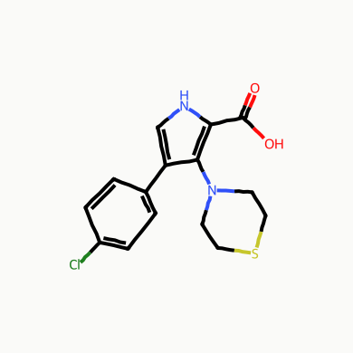 O=C(O)c1[nH]cc(-c2ccc(Cl)cc2)c1N1CCSCC1